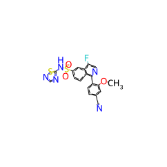 COc1cc(C#N)ccc1-c1ncc(F)c2cc(S(=O)(=O)Nc3ncns3)ccc12